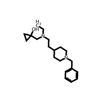 CCN(CCC1CCN(Cc2ccccc2)CC1)CC1(O)CC1